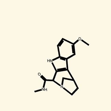 CNC(=O)C1c2[nH]c3ccc(OC)cc3c2C2CCN1C2